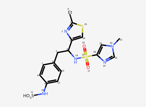 CCc1nc(C(Cc2ccc(NS(=O)(=O)O)cc2)NS(=O)(=O)c2cn(C)cn2)cs1